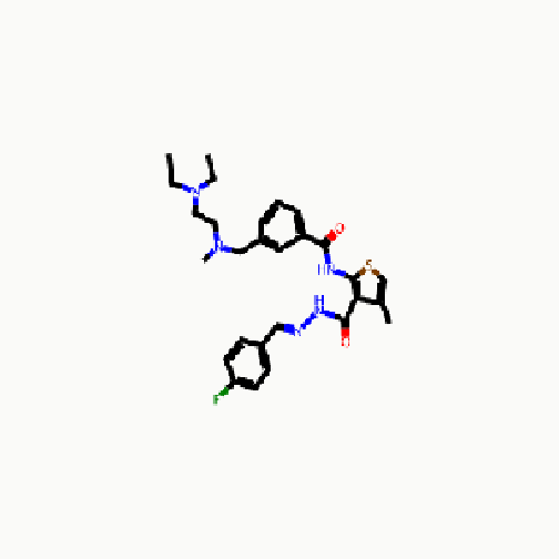 CCN(CC)CCN(C)Cc1cccc(C(=O)Nc2scc(C)c2C(=O)NN=Cc2ccc(F)cc2)c1